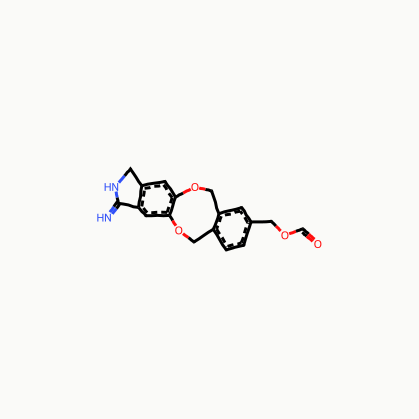 N=C1NCc2cc3c(cc21)OCc1ccc(COC=O)cc1CO3